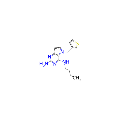 CCCCNc1nc(N)nc2ccn(Cc3ccsc3)c12